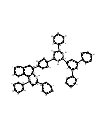 c1ccc(-c2cc(-c3ccccc3)cc(-c3nc(-c4ccccc4)nc(-c4ccc(-c5cc6ccccc6c6c(-c7ccccc7)cc(-c7ccccc7)nc56)cc4)n3)c2)cc1